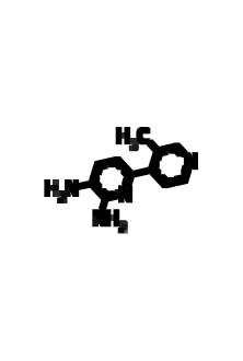 Cc1cnccc1-c1ccc(N)c(N)n1